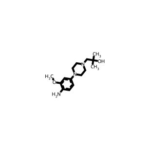 COc1cc(N2CCN(CC(C)(C)O)CC2)ccc1N